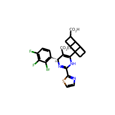 CCOC(=O)C1=C(C23C4C5C2C2C3C4C52C(=O)O)NC(c2nccs2)=N[C@@H]1c1ccc(F)c(F)c1Br